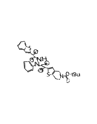 CC(C)(C)OC(=O)N1CCc2sc(S(=O)(=O)N(NS(=O)(=O)c3cc4ccccc4s3)c3ccccc3)cc2C1